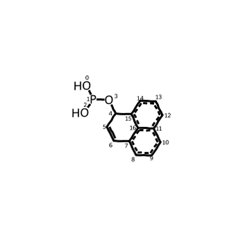 OP(O)OC1C=Cc2cccc3cccc1c23